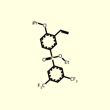 C=Cc1cc(P(=O)(OCC)c2cc(C(F)(F)F)cc(C(F)(F)F)c2)ccc1OC(C)C